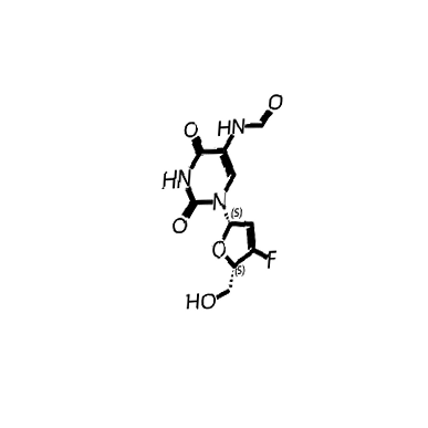 O=CNc1cn([C@@H]2C=C(F)[C@H](CO)O2)c(=O)[nH]c1=O